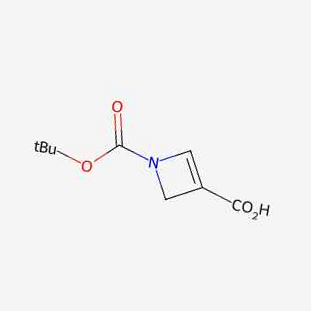 CC(C)(C)OC(=O)N1C=C(C(=O)O)C1